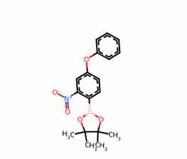 CC1(C)OB(c2ccc(Oc3ccccc3)cc2[N+](=O)[O-])OC1(C)C